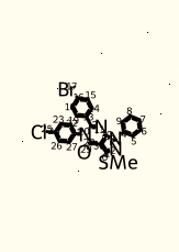 CSc1nn(-c2ccccc2)c2nc(-c3ccc(Br)cc3)n(-c3ccc(Cl)cc3)c(=O)c12